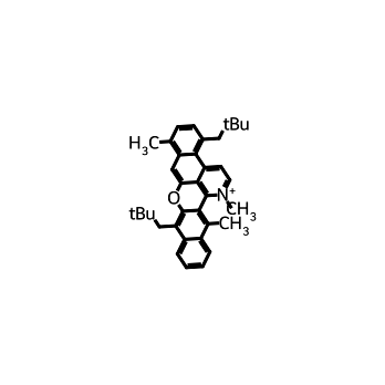 Cc1c2c(c(CC(C)(C)C)c3ccccc13)Oc1cc3c(C)ccc(CC(C)(C)C)c3c3cc[n+](C)c-2c13